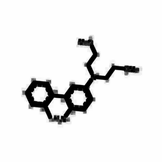 COCCN(CCOC)c1ccc(N)c(-c2ccccc2C)c1